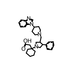 O=C(O)CC1(N2CC(CN3CCC(n4cnc5ccccc54)CC3)C(c3ccccc3)C2)CCCCC1